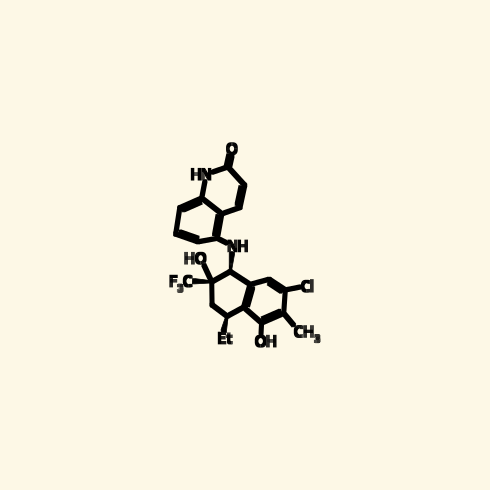 CC[C@H]1C[C@@](O)(C(F)(F)F)[C@@H](Nc2cccc3[nH]c(=O)ccc23)c2cc(Cl)c(C)c(O)c21